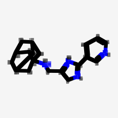 c1cncc(C2=NCC(CNC34CC5CC(CC(C5)C3)C4)=N2)c1